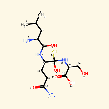 CC(C)C[C@H](N)C(O)N[C@H](CCC(N)=O)C(O)(S)N[C@@H](CO)C(=O)O